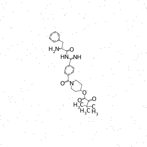 CC(C)(C)C(=O)C(=O)OC1CCN(C(=O)c2ccc(C(=N)NC(=O)[C@@H](N)Cc3ccccc3)cc2)CC1